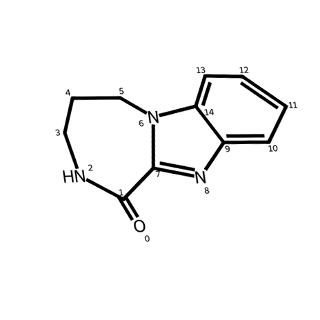 O=C1NCCCn2c1nc1ccccc12